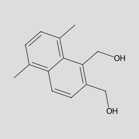 Cc1ccc(C)c2c(CO)c(CO)ccc12